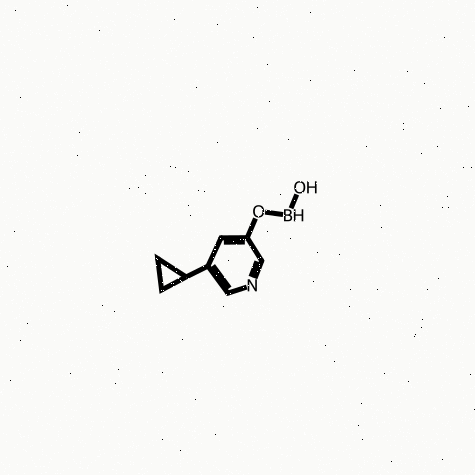 OBOc1cncc(C2CC2)c1